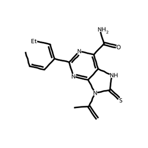 C=C(C)n1c(=S)[nH]c2c(C(N)=O)nc(C(/C=C\C)=C/CC)nc21